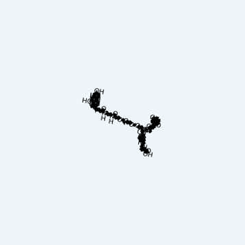 CC1=C(C)C(=O)C(C(C)(C)CC(=O)N(C)CCN(CCOCCOCCOCCOCCC(=O)NCCCNC(=O)CC[C@H](C)[C@@H]2CC[C@@H]3C4[C@@H](CC[C@]32C)[C@]2(C)CC[C@H](O)C[C@@H]2C[C@@H]4O)C(=O)Oc2ccc3nc(C4=NC(C(=O)O)CS4)sc3c2)=C(C)C1=O